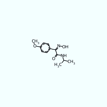 COc1ccc(C(=NO)C(=O)NC(C)C)cc1